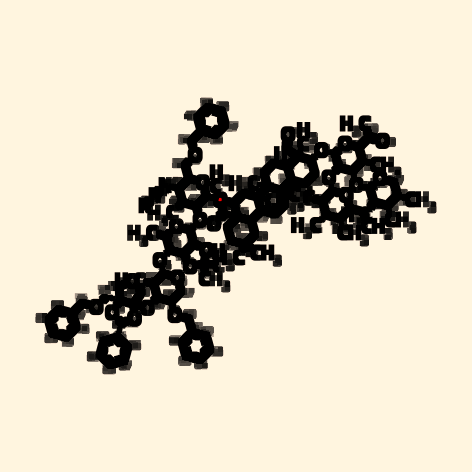 CCC1O[C@@H](OC2[C@H](O[C@H]3CCC4(C)C5CC=C6C7CC(C)(C)CC[C@]7(C(=O)O[C@@H]7OC(COCc8ccccc8)[C@H](N=[N+]=[N-])C(C)C7O[C@@H]7OC(C)[C@H](O[C@@H]8OC[C@@H](OCc9ccccc9)C(OC9%10COC[C@]9(COCc9ccccc9)O[C@@H](c9ccccc9)O%10)C8C)C8OC(C)(C)OC87)C(OC)C[C@@]6(C)[C@@]5(C)CC[C@H]4[C@@]3(C)C=O)OC(C(C)=O)[C@@H](C)[C@@H]2O[C@@H]2OC[C@@H](C)[C@H](C)C2C)C(C)[C@@H](C)[C@H]1C